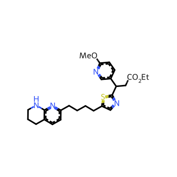 CCOC(=O)CC(c1ccc(OC)nc1)c1ncc(CCCCc2ccc3c(n2)NCCC3)s1